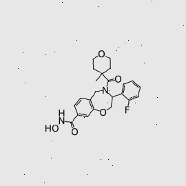 CC1(C(=O)N2Cc3ccc(C(=O)NO)cc3OCC2c2ccccc2F)CCOCC1